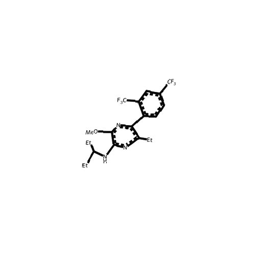 CCc1nc(NC(CC)CC)c(OC)nc1-c1ccc(C(F)(F)F)cc1C(F)(F)F